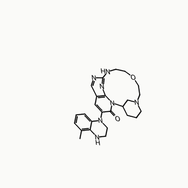 Cc1cccc2c1NCCN2c1cc2cnc3nc2n(c1=O)C1CCCN(CCOCCN3)C1